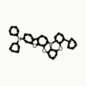 c1ccc(-c2cccc3c2Oc2cccc4c2B3c2ccc3c(oc5cc(N(c6ccccc6)c6ccccc6)ccc53)c2O4)cc1